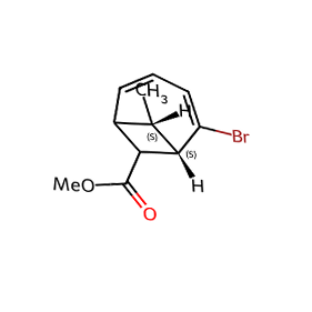 COC(=O)C1C2C=CC=C(Br)[C@H]1[C@H]2C